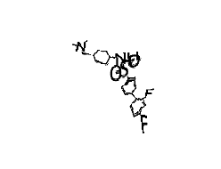 CN(C)C[C@H]1CC[C@@H](NS(=O)(=O)c2ccc(-c3ccc(F)cc3F)cc2)CC1